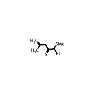 C=C(C)CC(=S)C(CC)SC